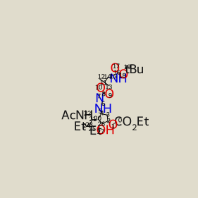 CCOC(=O)O[C@H]1C[C@@H](NC=NC(=O)OC(C)(C)CNC(=O)OC(C)(C)C)[C@H]([C@@H](NC(C)=O)C(CC)CC)[C@@H]1O